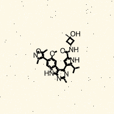 COc1cc2c(cc1-c1c(C)noc1C)[nH]c1nc(C)nc(-c3cc(C(=O)N[C@H]4C[C@@](C)(O)C4)[nH]c3C(C)C)c12